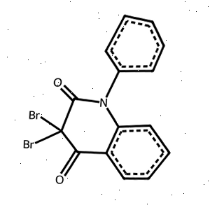 O=C1c2ccccc2N(c2ccccc2)C(=O)C1(Br)Br